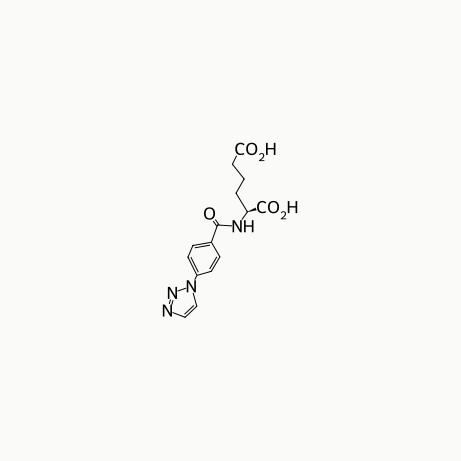 O=C(O)CCC[C@H](NC(=O)c1ccc(-n2ccnn2)cc1)C(=O)O